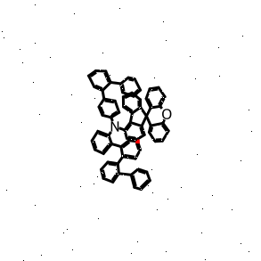 c1ccc(-c2ccccc2-c2ccc(N(c3ccccc3-c3ccccc3-c3ccccc3-c3ccccc3)c3cccc4c3-c3ccccc3C43c4ccccc4Oc4ccccc43)cc2)cc1